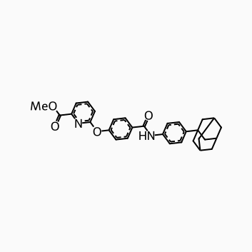 COC(=O)c1cccc(Oc2ccc(C(=O)Nc3ccc(C45CC6CC(CC(C6)C4)C5)cc3)cc2)n1